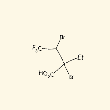 CCC(Br)(C(=O)O)C(Br)C(F)(F)F